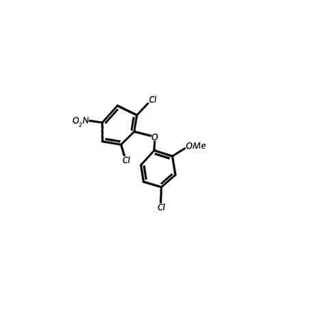 COc1cc(Cl)ccc1Oc1c(Cl)cc([N+](=O)[O-])cc1Cl